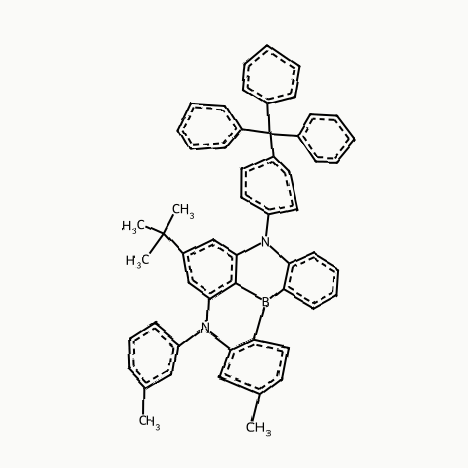 Cc1cccc(N2c3cc(C)ccc3B3c4ccccc4N(c4ccc(C(c5ccccc5)(c5ccccc5)c5ccccc5)cc4)c4cc(C(C)(C)C)cc2c43)c1